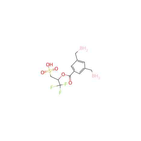 BCc1cc(CB)cc(C(=O)OC(CS(=O)(=O)O)C(F)(F)F)c1